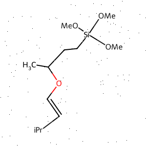 CO[Si](CCC(C)OC=CC(C)C)(OC)OC